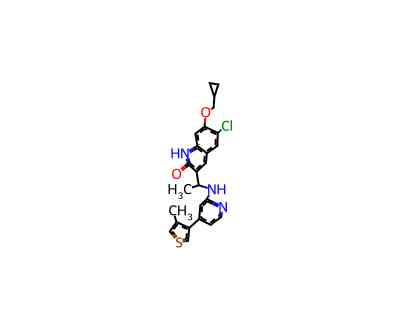 Cc1cscc1-c1ccnc(NC(C)c2cc3cc(Cl)c(OCC4CC4)cc3[nH]c2=O)c1